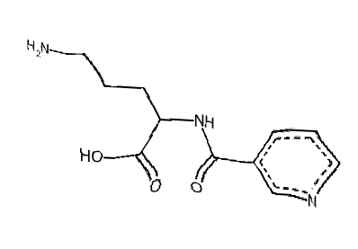 NCCCC(NC(=O)c1cccnc1)C(=O)O